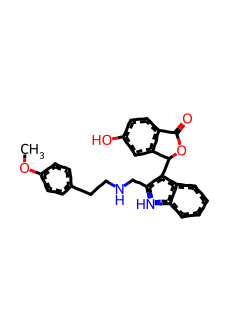 COc1ccc(CCNCc2[nH]c3ccccc3c2C2OC(=O)c3ccc(O)cc32)cc1